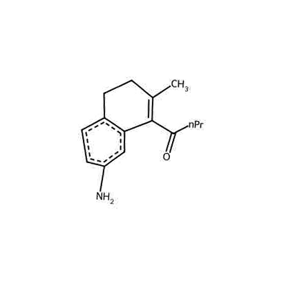 CCCC(=O)C1=C(C)CCc2ccc(N)cc21